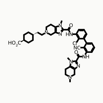 CN1CCc2c(nc(C(=O)Nc3cccc(-c4cccc(NC(=O)c5nc6c(n5C)CCN(CC[C@H]5CC[C@H](C(=O)O)CC5)C6)c4Cl)c3C#N)n2C)C1